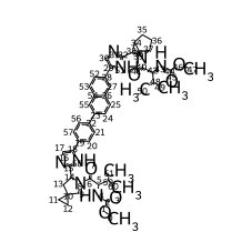 COC(=O)NC(C(=O)N1CC2(CC2)CC1c1ncc(-c2ccc(-c3ccc4cc(-c5cnc(C6C7CCC(C7)N6C(=O)C(NC(=O)OC)C(C)C)[nH]5)ccc4c3)cc2)[nH]1)C(C)C